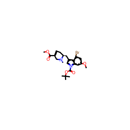 COC(=O)C1=CC[C@@H](Cc2cn(C(=O)OC(C)(C)C)c3cc(OC)cc(Br)c23)N(C)C1